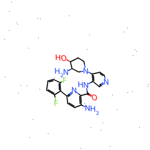 Nc1ccc(-c2c(F)cccc2F)nc1C(=O)Nc1cnccc1N1CC[C@H](O)[C@H](N)C1